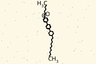 CCCCCCCCCCCC1CCC(c2ccc(-c3ccc(OC(=O)CCCCC)cc3)cc2)CC1